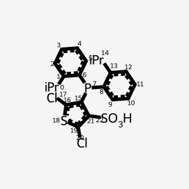 CC(C)c1ccccc1P(c1ccccc1C(C)C)c1c(Cl)sc(Cl)c1S(=O)(=O)O